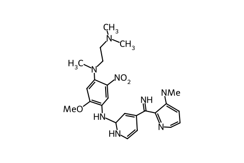 CNc1cccnc1C(=N)C1=CC(Nc2cc([N+](=O)[O-])c(N(C)CCN(C)C)cc2OC)NC=C1